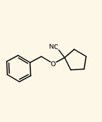 N#CC1(OCc2ccccc2)CCCC1